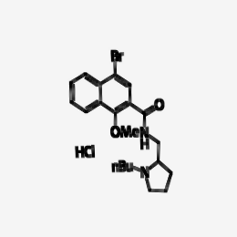 CCCCN1CCCC1CNC(=O)c1cc(Br)c2ccccc2c1OC.Cl